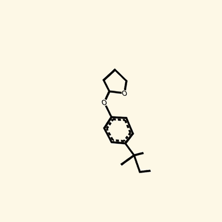 CCC(C)(C)c1ccc(OC2CCCO2)cc1